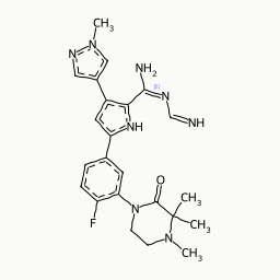 CN1CCN(c2cc(-c3cc(-c4cnn(C)c4)c(/C(N)=N\C=N)[nH]3)ccc2F)C(=O)C1(C)C